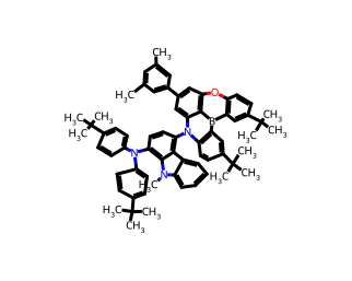 Cc1cc(C)cc(-c2cc3c4c(c2)N(c2ccc(N(c5ccc(C(C)(C)C)cc5)c5ccc(C(C)(C)C)cc5)c5c2c2ccccc2n5C)c2ccc(C(C)(C)C)cc2B4c2cc(C(C)(C)C)ccc2O3)c1